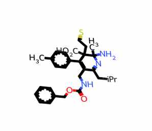 Cc1ccc(C2=C(CNC(=O)OCc3ccccc3)C(CC(C)C)=NC(C)(N)C2(CC=S)C(=O)O)cc1